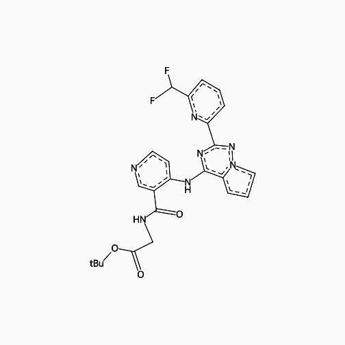 CC(C)(C)OC(=O)CNC(=O)c1cnccc1Nc1nc(-c2cccc(C(F)F)n2)nn2cccc12